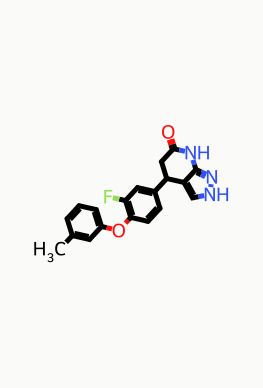 Cc1cccc(Oc2ccc(C3CC(=O)Nc4n[nH]cc43)cc2F)c1